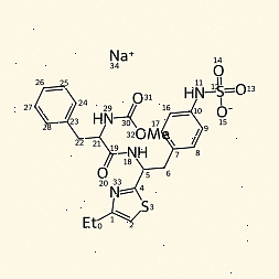 CCc1csc(C(Cc2ccc(NS(=O)(=O)[O-])cc2)NC(=O)C(Cc2ccccc2)NC(=O)OC)n1.[Na+]